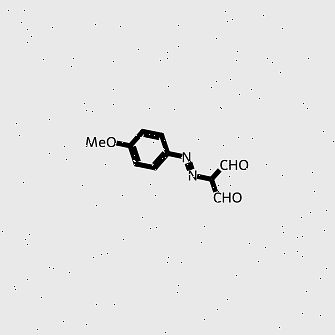 COc1ccc(N=NC(C=O)C=O)cc1